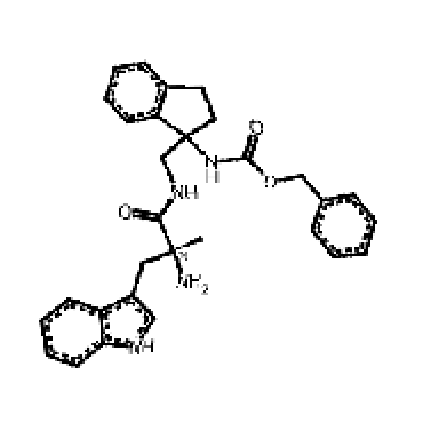 C[C@@](N)(Cc1c[nH]c2ccccc12)C(=O)NCC1(NC(=O)OCc2ccccc2)CCc2ccccc21